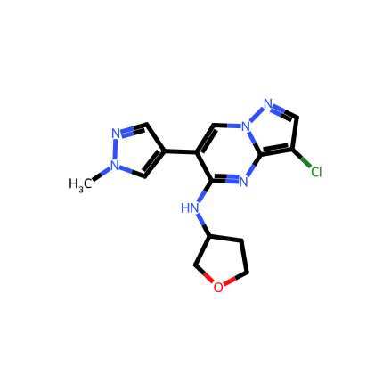 Cn1cc(-c2cn3ncc(Cl)c3nc2NC2CCOC2)cn1